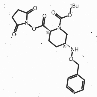 CC(C)(C)OC(=O)N1C[C@H](NOCc2ccccc2)CC[C@H]1C(=O)ON1C(=O)CCC1=O